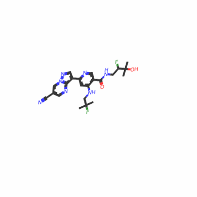 CC(C)(F)CNc1cc(-c2cnn3cc(C#N)cnc23)ncc1C(=O)NCC(F)C(C)(C)O